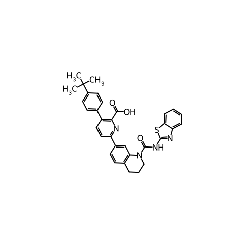 CC(C)(C)c1ccc(-c2ccc(-c3ccc4c(c3)N(C(=O)Nc3nc5ccccc5s3)CCC4)nc2C(=O)O)cc1